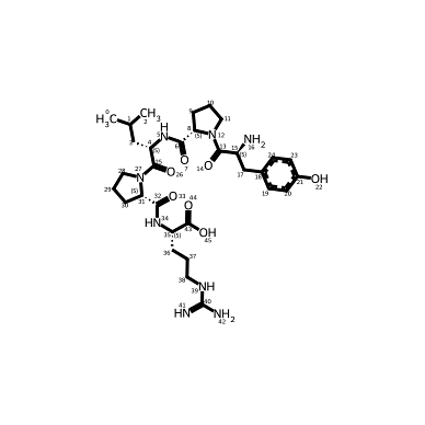 CC(C)C[C@H](NC(=O)[C@@H]1CCCN1C(=O)[C@@H](N)Cc1ccc(O)cc1)C(=O)N1CCC[C@H]1C(=O)N[C@@H](CCCNC(=N)N)C(=O)O